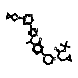 CC(n1cc(-c2cncc(N3CC4(CC4)C3)n2)nn1)n1ccc(N2CCC[C@@H](N(CC3CC3)C(=O)OC(C)(C)C)C2)cc1=O